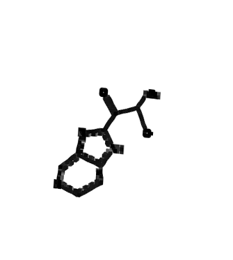 CCCCC([O])C(=O)c1nc2cnccc2[nH]1